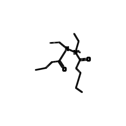 CCCCC(=O)[N+](CC)N(CC)C(=O)CCC